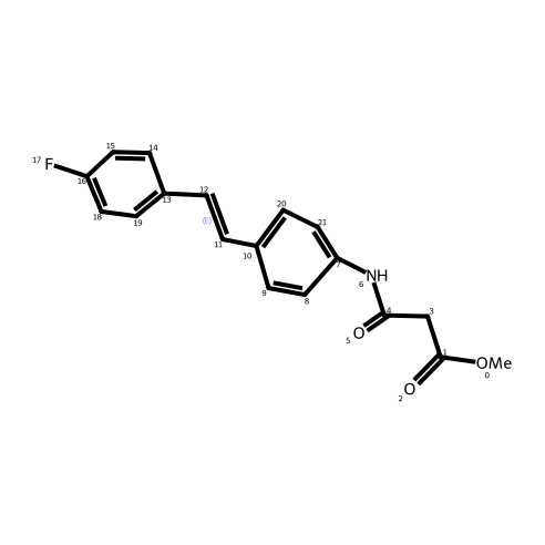 COC(=O)CC(=O)Nc1ccc(/C=C/c2ccc(F)cc2)cc1